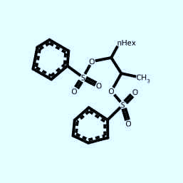 CCCCCCC(OS(=O)(=O)c1ccccc1)C(C)OS(=O)(=O)c1ccccc1